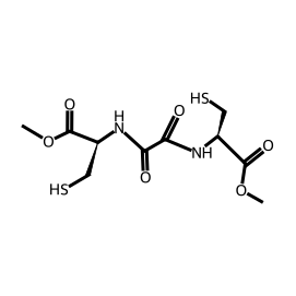 COC(=O)[C@H](CS)NC(=O)C(=O)N[C@@H](CS)C(=O)OC